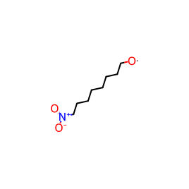 [O]CCCCCCCC[N+](=O)[O-]